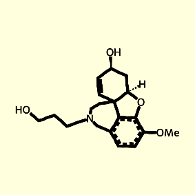 COc1ccc2c3c1O[C@@H]1C[C@H](O)C=CC31CCN(CCCO)C2